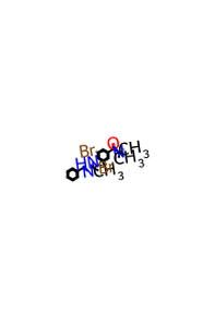 CC(=NCc1ccccc1)Nc1c(Br)cc(C(=O)N(C)C)cc1Br